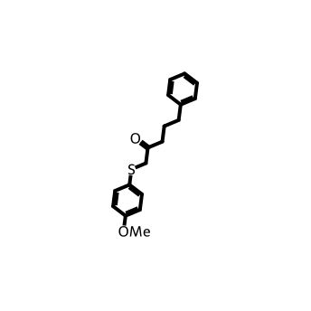 COc1ccc(SCC(=O)CCCc2ccccc2)cc1